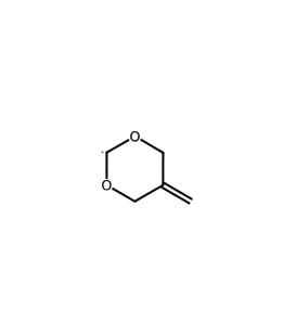 C=C1CO[CH]OC1